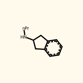 CCCNC1Cc2ccccc2C1